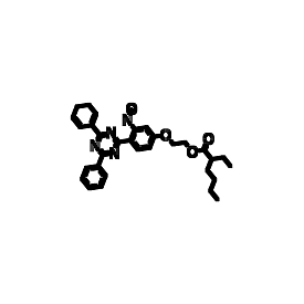 CCCCC(CC)C(=O)OCCOc1ccc(-c2nc(C3=CCCC=C3)nc(-c3ccccc3)n2)c(N=O)c1